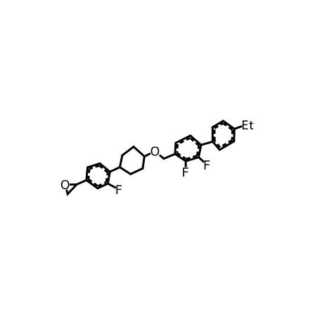 CCc1ccc(-c2ccc(COC3CCC(c4ccc(C5CO5)cc4F)CC3)c(F)c2F)cc1